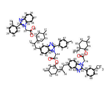 Cc1ccc(-c2nc3cc(CC(C)[C@@H]4CCC(C)C[C@H]4OC(=O)Cn4c(-c5ccccc5C)nc5ccccc54)ccc3n2CC(=O)O[C@@H]2CC(C)CCC2[C@H](C)Cc2ccc3c(c2)nc(-c2cccc(C(F)(F)F)c2)n3CC(=O)O[C@@H]2CC(C)CCC2C(C)C)cc1